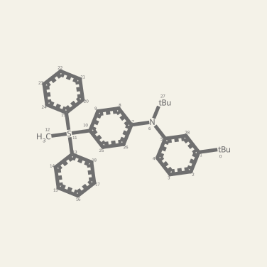 CC(C)(C)c1cccc(N(c2ccc(S(C)(c3ccccc3)c3ccccc3)cc2)C(C)(C)C)c1